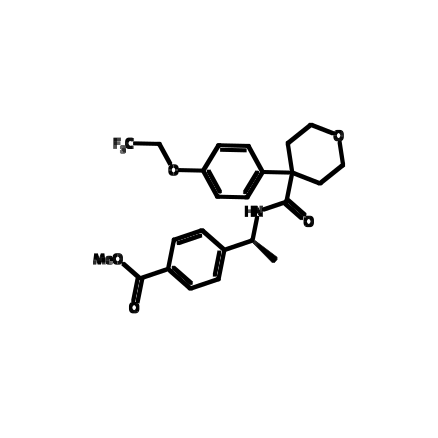 COC(=O)c1ccc([C@H](C)NC(=O)C2(c3ccc(OCC(F)(F)F)cc3)CCOCC2)cc1